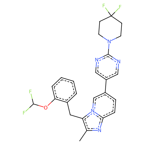 Cc1nc2ccc(-c3cnc(N4CCC(F)(F)CC4)nc3)cn2c1Cc1ccccc1OC(F)F